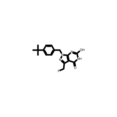 CC(C)(C)c1ccc(Cn2nc(CF)c3c(=O)[nH]c(O)nc32)cc1